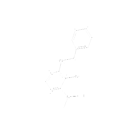 CN(C)c1ncnc(NCc2ccccc2)c1N=O